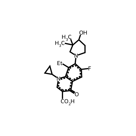 CCc1c(N2CCC(O)C(C)(C)C2)c(F)cc2c(=O)c(C(=O)O)cn(C3CC3)c12